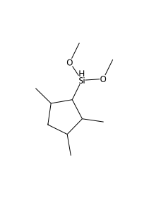 CO[SiH](OC)C1C(C)CC(C)C1C